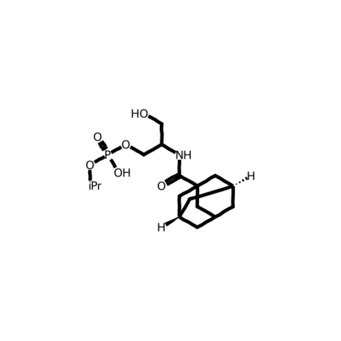 CC(C)OP(=O)(O)OCC(CO)NC(=O)C12CC3C[C@H](C1)C[C@H](C3)C2